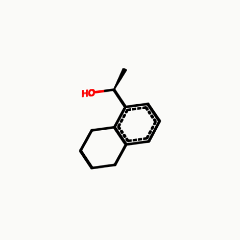 C[C@H](O)c1cccc2c1CCCC2